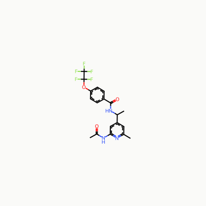 CC(=O)Nc1cc(C(C)NC(=O)c2ccc(OC(F)(F)C(F)(F)F)cc2)cc(C)n1